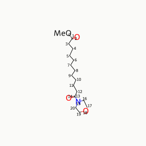 COC(=O)CCCCCCCCCCC(=O)N1CCOCC1